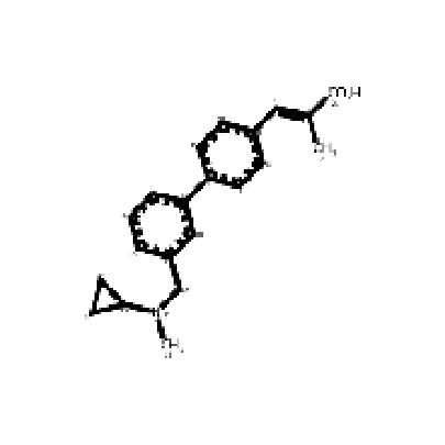 C/C(=C\c1ccc(-c2cccc(CN(C)C3CC3)c2)cc1)C(=O)O